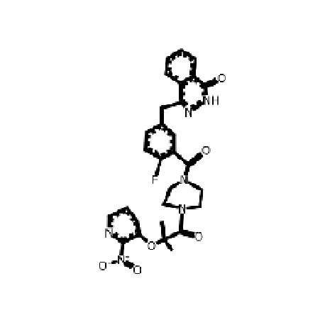 CC(C)(Oc1cccnc1[N+](=O)[O-])C(=O)N1CCN(C(=O)c2cc(Cc3n[nH]c(=O)c4ccccc34)ccc2F)CC1